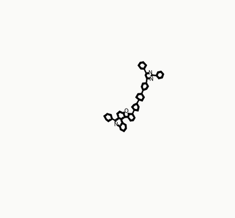 c1ccc(-c2cc(-c3ccc(-c4ccc(-c5ccc(-c6cccc7c6oc6ccc8c(-c9ccccc9)nc9ccccc9c8c67)cc5)cc4)cc3)nc(-c3ccccc3)n2)cc1